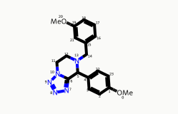 COc1ccc(C2c3nnnn3CCN2Cc2cccc(OC)c2)cc1